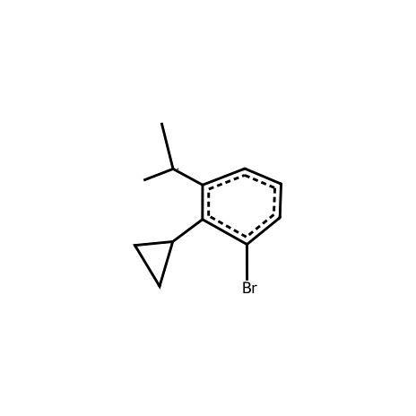 C[C](C)c1cccc(Br)c1C1CC1